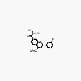 COc1cc(-c2cccc(F)c2)nc2cc(C(=O)C(C#N)C#N)ccc12